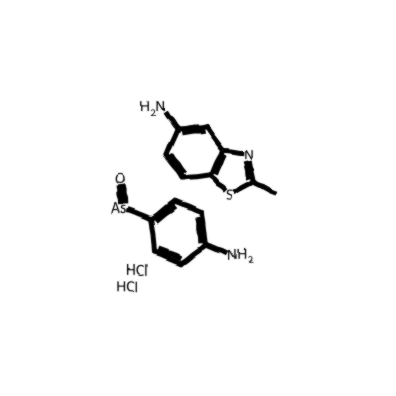 Cc1nc2cc(N)ccc2s1.Cl.Cl.Nc1ccc([As]=O)cc1